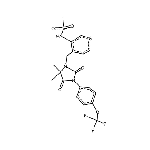 CC1(C)C(=O)N(c2ccc(OC(F)(F)F)cc2)C(=O)N1Cc1ccncc1NS(C)(=O)=O